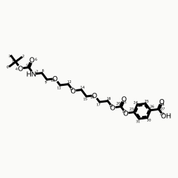 CC(C)(C)OC(=O)NCCOCCOCCOCCOC(=O)Oc1ccc(C(=O)O)cc1